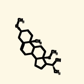 CO[C@H]1CC[C@@]2(C)C(=CCC3C4CCC([C@@H](C)O)[C@@]4(SC)CCC32)C1